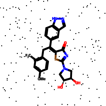 COc1ccc(CC(=C2SC(N3C[C@@H](O)[C@H](O)C3)=NC2=O)c2ccc3[nH]ncc3c2)c(C(F)(F)F)c1